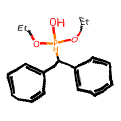 CCO[PH](O)(OCC)C(c1ccccc1)c1ccccc1